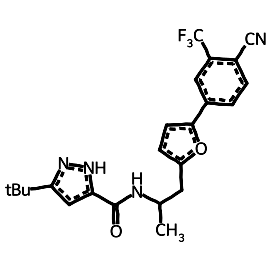 CC(Cc1ccc(-c2ccc(C#N)c(C(F)(F)F)c2)o1)NC(=O)c1cc(C(C)(C)C)n[nH]1